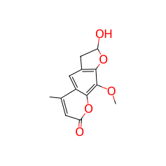 COc1c2c(cc3c(C)cc(=O)oc13)CC(O)O2